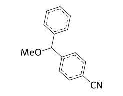 COC(c1ccccc1)c1ccc(C#N)cc1